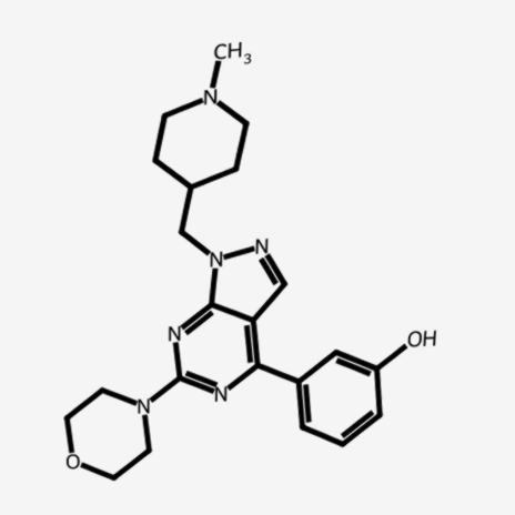 CN1CCC(Cn2ncc3c(-c4cccc(O)c4)nc(N4CCOCC4)nc32)CC1